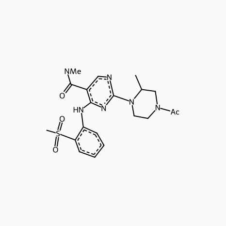 CNC(=O)c1cnc(N2CCN(C(C)=O)CC2C)nc1Nc1ccccc1S(C)(=O)=O